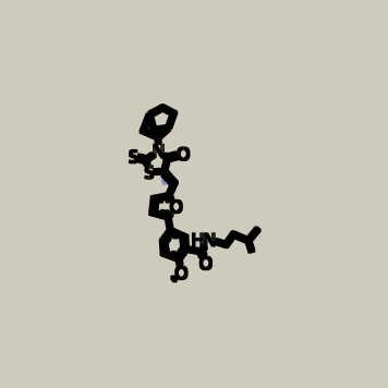 COc1ccc(-c2ccc(/C=C3\SC(=S)N(C4CC5CCC4C5)C3=O)o2)cc1C(=O)NCCC(C)C